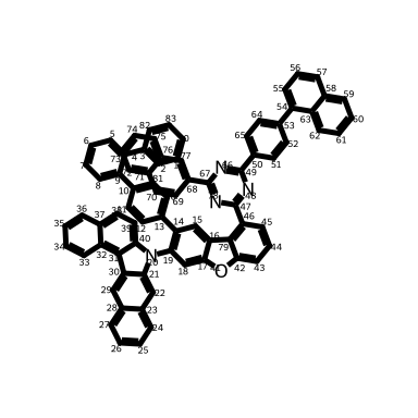 c1ccc(-c2ccccc2-c2ccc(-c3cc4c(cc3-n3c5cc6ccccc6cc5c5c6ccccc6ccc53)oc3cccc(-c5nc(-c6ccc(-c7cccc8ccccc78)cc6)nc(-c6ccc7ccccc7c6)n5)c34)cc2)cc1